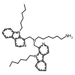 CCCCCCn1c2ccccc2c2ccnc(CN(CCCCCCN)Cc3nccc4c5ccccc5n(CCCCCC)c34)c21